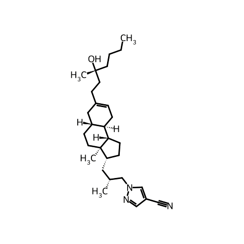 CCCC[C@@](C)(O)CCC1=CC[C@@H]2[C@H](CC[C@]3(C)[C@@H](C[C@@H](C)Cn4cc(C#N)cn4)CC[C@@H]23)C1